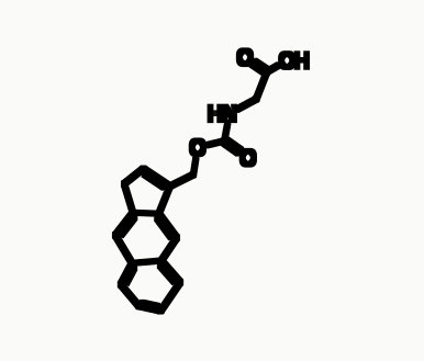 O=C(O)CNC(=O)OCC1=CCc2cc3ccccc3cc21